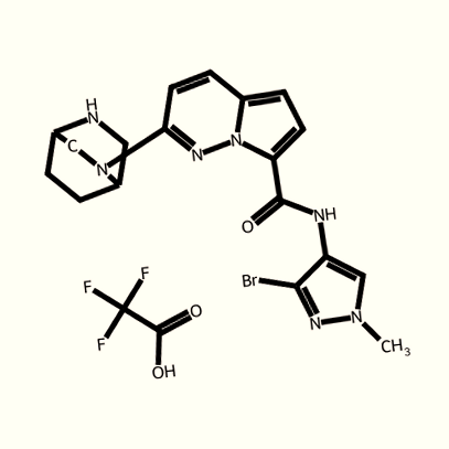 Cn1cc(NC(=O)c2ccc3ccc(N4CC5CCC4CN5)nn23)c(Br)n1.O=C(O)C(F)(F)F